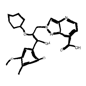 COc1cc(C(O)C(Cn2cc3nccc(C(=O)O)c3n2)OC2CCCC2)c(Cl)cc1C